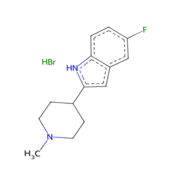 Br.CN1CCC(c2cc3cc(F)ccc3[nH]2)CC1